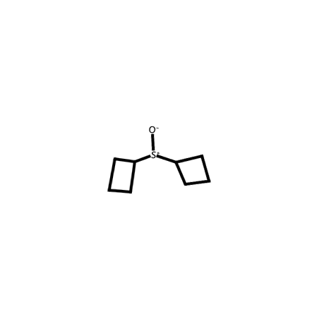 [O-][S+](C1CCC1)C1CCC1